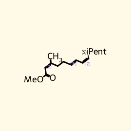 [CH2-][CH+]C[C@H](C)/C=C\C=C\CC/C(C)=C\C(=O)OC